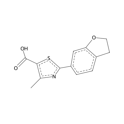 Cc1nc(-c2ccc3c(c2)OCC3)sc1C(=O)O